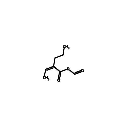 CC=C(CCC)C(=O)OC=O